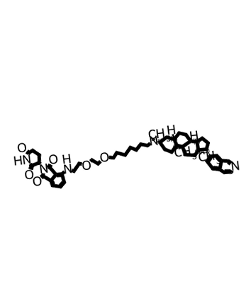 CN(CCCCCCCOCCOCCNc1cccc2c1C(=O)N(C1CCC(=O)NC1=O)C2=O)[C@H]1CC[C@]2(C)C3CC[C@]4(C)[C@@H](c5ccc6ccncc6c5)CC[C@H]4C3CC[C@H]2C1